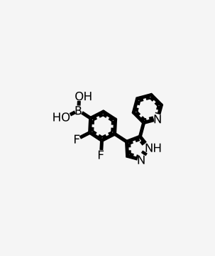 OB(O)c1ccc(-c2cn[nH]c2-c2ccccn2)c(F)c1F